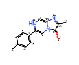 Cc1ccc(-c2cn3c(=O)c(C)nc-3c[nH]2)cc1